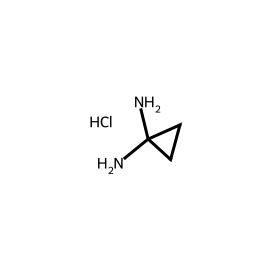 Cl.NC1(N)CC1